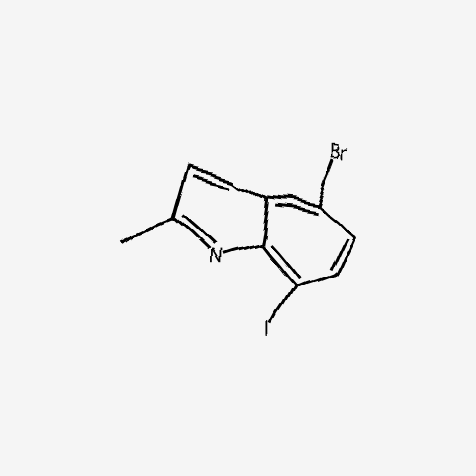 Cc1ccc2c(Br)ccc(I)c2n1